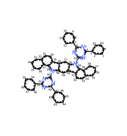 c1ccc(-c2nc(-c3ccccc3)nc(-n3c4cc5c6ccc7ccccc7c6n(-c6nc(-c7ccccc7)nc(-c7ccccc7)n6)c5cc4c4ccc5ccccc5c43)n2)cc1